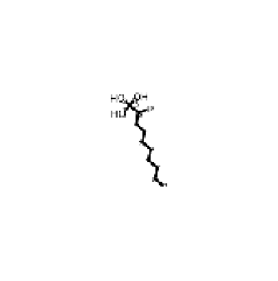 CCCCCCCCC(I)C(O)(O)O